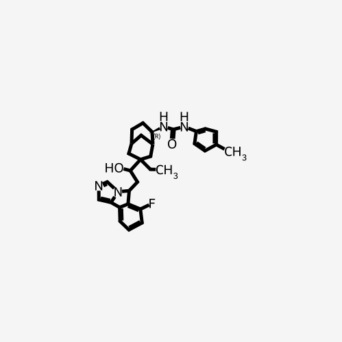 CCC1(C(O)CC2c3c(F)cccc3-c3cncn32)CC2CC[C@@H](NC(=O)Nc3ccc(C)cc3)C(C2)C1